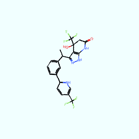 CC(c1cccc(C2C=CC(C(F)(F)F)=CN2)c1)c1n[nH]c2c1C(O)(C(F)(F)F)CC(=O)N2